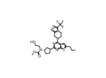 CCCc1cc2c(N3CCn4c(nnc4C(F)(F)F)C3)nc(N3CC[C@H](N(CCO)C(=O)OC)C3)nc2s1